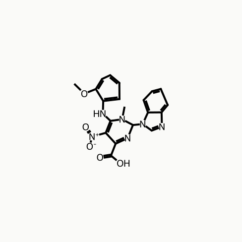 COc1ccccc1NC1=C([N+](=O)[O-])C(C(=O)O)=NC(n2cnc3ccccc32)N1C